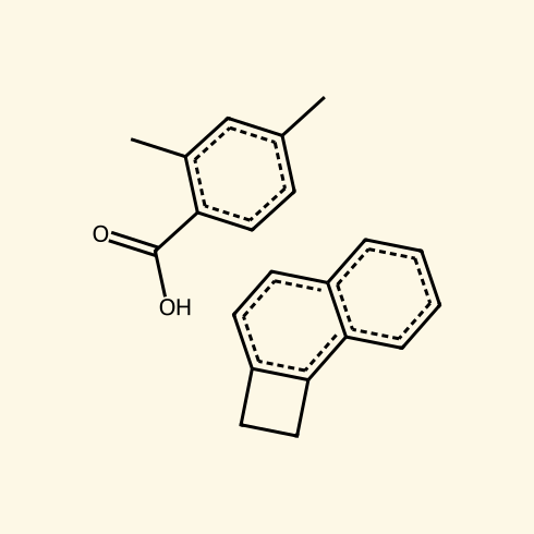 Cc1ccc(C(=O)O)c(C)c1.c1ccc2c3c(ccc2c1)CC3